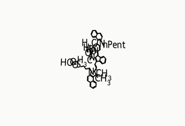 CCCCCN1/C(=C/C=C2C(N(C)C(=O)OC(C)(C)C)=C(/C=C/C3=[N+](CCCCSOOO)c4ccc5ccccc5c4C3(C)C)c3ccccc3/2)C(C)(C)c2c1ccc1ccccc21